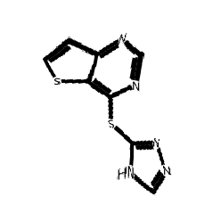 c1nc(Sc2nnc[nH]2)c2sccc2n1